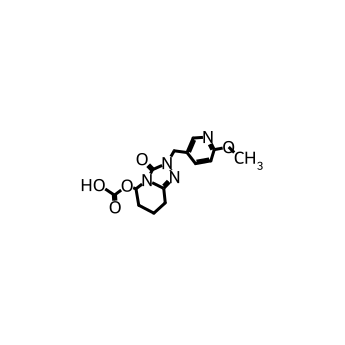 COc1ccc(Cn2nc3n(c2=O)C(OC(=O)O)CCC3)cn1